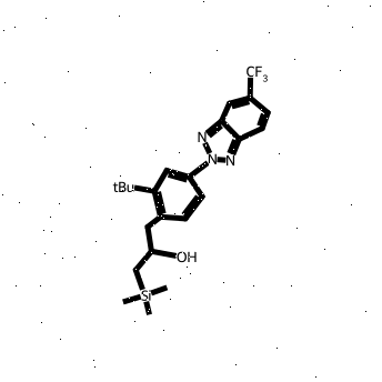 CC(C)(C)c1cc(-n2nc3ccc(C(F)(F)F)cc3n2)ccc1CC(O)C[Si](C)(C)C